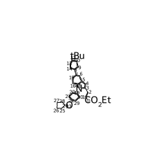 CCOC(=O)C=Cc1cc2cc(-c3ccc(C(C)(C)C)cc3)ccc2n1-c1ccc(OC2CCCC2)cc1